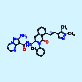 Cc1c(/C=C/c2cccc3cc([C@H](C)NC(=O)c4c(N)nn5cccnc45)n(-c4ccccc4)c(=O)c23)cnn1C